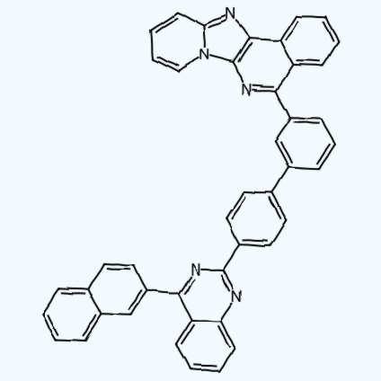 c1cc(-c2ccc(-c3nc(-c4ccc5ccccc5c4)c4ccccc4n3)cc2)cc(-c2nc3c(nc4ccccn43)c3ccccc23)c1